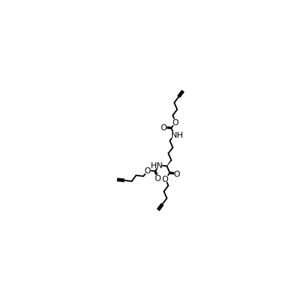 C#CCCCOC(=O)NCCCC[C@H](NC(=O)OCCCC#C)C(=O)OCCCC#C